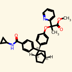 COC(=O)C(C)(Oc1ccc([C@@]2(c3ccc(C(=O)NC4CC4)cc3)C[C@@H]3CC[C@H]2C3)cc1)c1ccccn1